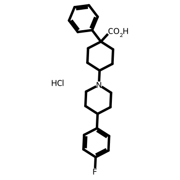 Cl.O=C(O)C1(c2ccccc2)CCC(N2CCC(c3ccc(F)cc3)CC2)CC1